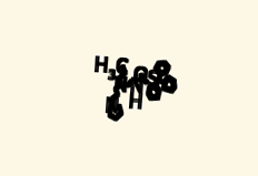 CCCN(CCCN1CCCCC1)CCNC(=O)CSC(c1ccccc1)(c1ccccc1)c1ccccc1